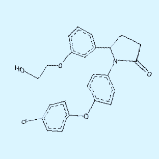 O=C1CCC(c2cccc(OCCO)c2)N1c1ccc(Oc2ccc(Cl)cc2)cc1